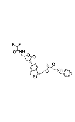 CCN(CCON(C)C(=O)CNCc1ccncc1)c1ccc(N2C[C@H](CNC(=O)C(F)F)OC2=O)cc1F